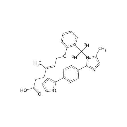 [2H]C([2H])(c1ccccc1OC/C=C(\C)CCC(=O)O)n1c(C)cnc1-c1ccc(-c2ccco2)cc1